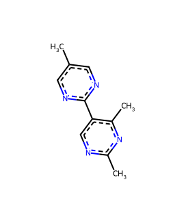 Cc1cnc(-c2cnc(C)nc2C)nc1